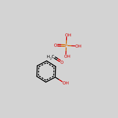 C=O.O=P(O)(O)O.Oc1ccccc1